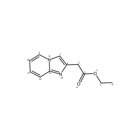 CCOC(=O)Cc1cn2ccccc2n1